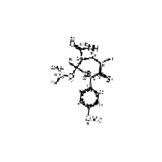 COc1ccc(CC(=S)[C@H](C)[C@H]2NC(=O)[C@@H]2[C@@](C)(O[SiH](C)C)C(C)(C)C)cc1